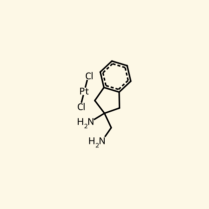 NCC1(N)Cc2ccccc2C1.[Cl][Pt][Cl]